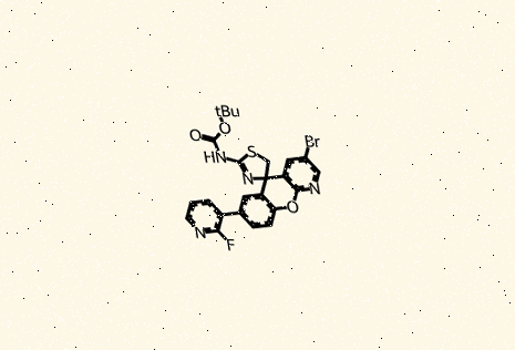 CC(C)(C)OC(=O)NC1=NC2(CS1)c1cc(-c3cccnc3F)ccc1Oc1ncc(Br)cc12